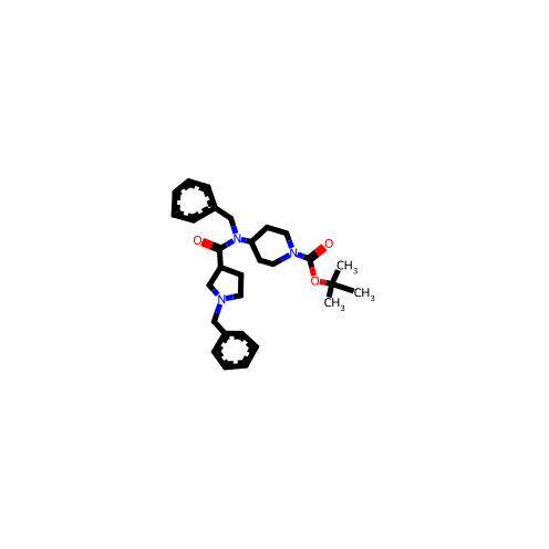 CC(C)(C)OC(=O)N1CCC(N(Cc2ccccc2)C(=O)C2CCN(Cc3ccccc3)C2)CC1